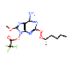 CCCC[C@H](C)OOC1=Nc2c(nc(OC)n2OC(=O)C(F)(F)F)C(N)N1